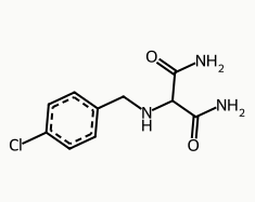 NC(=O)C(NCc1ccc(Cl)cc1)C(N)=O